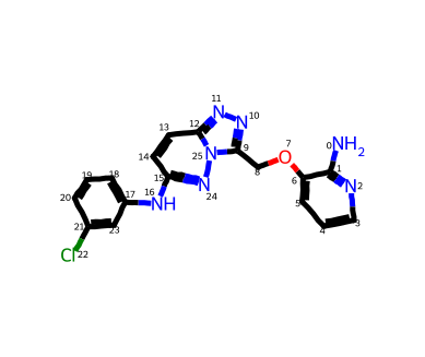 Nc1ncccc1OCc1nnc2ccc(Nc3cccc(Cl)c3)nn12